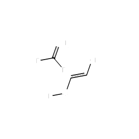 C=C(F)F.CC=COF